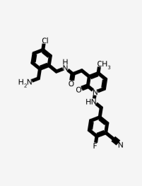 Cc1ccn(NCc2ccc(F)c(C#N)c2)c(=O)c1CC(=O)NCc1cc(Cl)ccc1CN